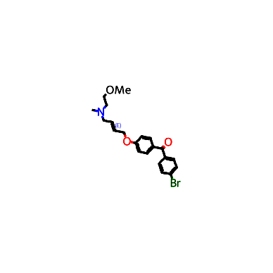 COCCN(C)C/C=C/COc1ccc(C(=O)c2ccc(Br)cc2)cc1